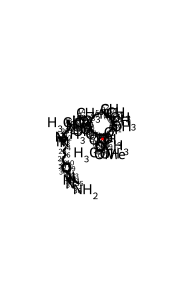 CO[C@]1(C)C[C@H](O[C@H]2[C@H](C)[C@@H](O[C@@H]3O[C@H](C)C[C@H](N(C)CCc4cn(CCCCc5ccc(-n6cc(CN)nn6)cc5)nn4)[C@H]3O)[C@](C)(O)CCCN(C)[C@H](C)[C@@H](O)[C@](C)(O)[C@@H](I)OC(=O)[C@@H]2C)O[C@@H](C)[C@@H]1O